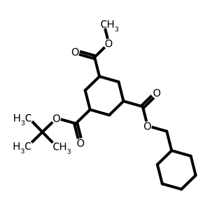 COC(=O)C1CC(C(=O)OCC2CCCCC2)CC(C(=O)OC(C)(C)C)C1